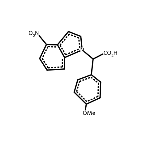 COc1ccc(C(C(=O)O)n2ccc3c([N+](=O)[O-])cccc32)cc1